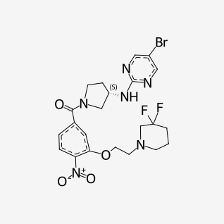 O=C(c1ccc([N+](=O)[O-])c(OCCN2CCCC(F)(F)C2)c1)N1CC[C@H](Nc2ncc(Br)cn2)C1